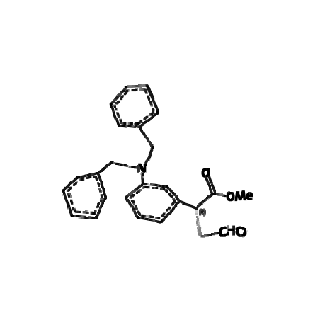 COC(=O)[C@H](CC=O)c1cccc(N(Cc2ccccc2)Cc2ccccc2)c1